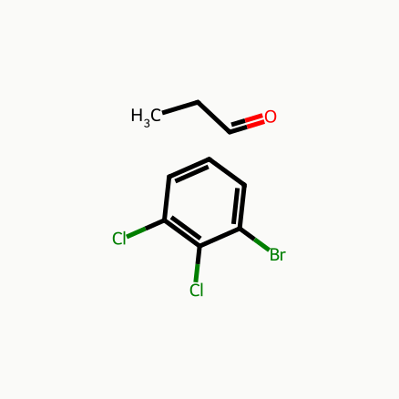 CCC=O.Clc1cccc(Br)c1Cl